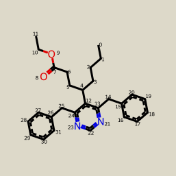 CCCCC(CCC(=O)OCC)c1c(Cc2ccccc2)ncnc1Cc1ccccc1